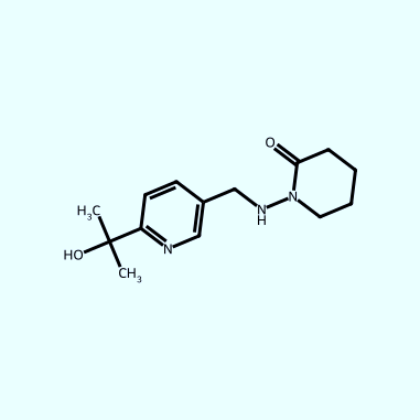 CC(C)(O)c1ccc(CNN2CCCCC2=O)cn1